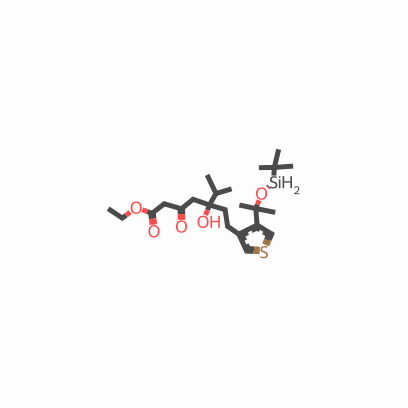 CCOC(=O)CC(=O)CC(O)(CCc1cscc1C(C)(C)O[SiH2]C(C)(C)C)C(C)C